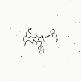 C#Cc1c(F)ccc2cc(O)cc(-c3ncc4c(N5CC6CCC(C5)N6)cc(C#C[C@@]56CCCN5C[C@H](F)C6)nc4c3F)c12